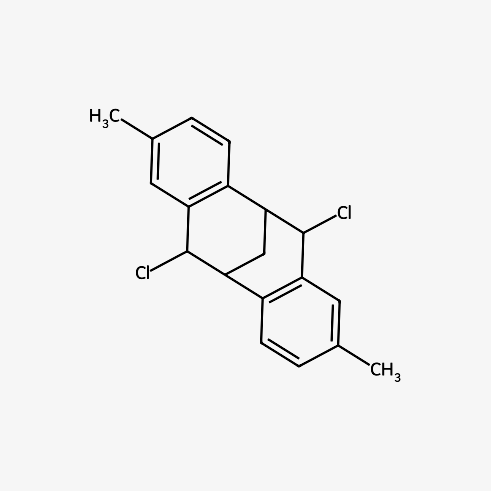 Cc1ccc2c(c1)C(Cl)C1CC2C(Cl)c2cc(C)ccc21